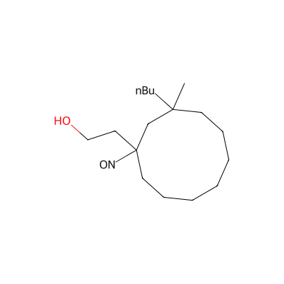 CCCCC1(C)CCCCCCCC(CCO)(N=O)C1